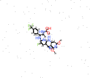 COc1cc(Nc2nc(N[C@@H](c3ccc(C(F)(F)F)cc3)[C@H](C)NC(=O)O)c(F)cc2C#N)cc(OC)n1